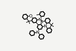 Cc1ccccc1N1B2c3cccc4c3N(c3ccccc3C4(C)C)c3cc(N(c4ccccc4)c4ccccc4)cc(c32)-c2cc3c(cc21)Oc1ccccc1C3(C)C